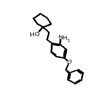 Nc1cc(OCc2ccccc2)ccc1CCC1(O)CCCCC1